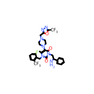 Cc1c(N2CCN(Cc3nnc(C(F)(F)F)o3)CC2)c(=O)n(CC(N)c2ccccc2)c(=O)n1Cc1c(F)cccc1C(F)(F)F